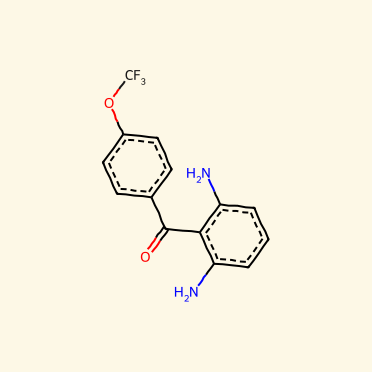 Nc1cccc(N)c1C(=O)c1ccc(OC(F)(F)F)cc1